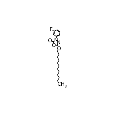 CCCCCCCCCCCCOc1nn(-c2cccc(F)c2)c(=O)o1